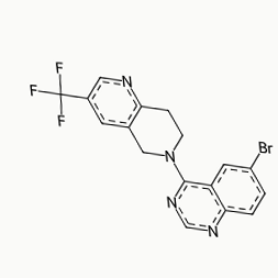 FC(F)(F)c1cnc2c(c1)CN(c1ncnc3ccc(Br)cc13)CC2